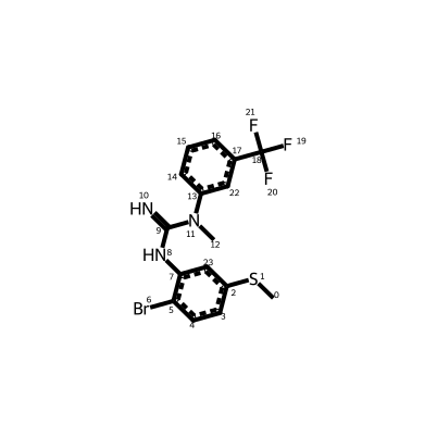 CSc1ccc(Br)c(NC(=N)N(C)c2cccc(C(F)(F)F)c2)c1